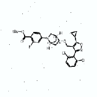 CC(C)(C)OC(=O)c1ccc(N2C[C@@H]3C[C@H]2C[C@H]3OCc2c(-c3c(Cl)cccc3Cl)noc2C2CC2)cc1F